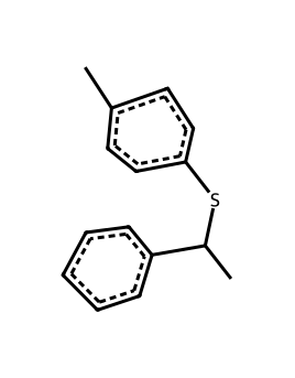 Cc1ccc(SC(C)c2ccccc2)cc1